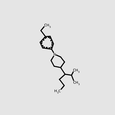 CCCC(C(C)C)C1CCN(c2ccc(CC)cc2)CC1